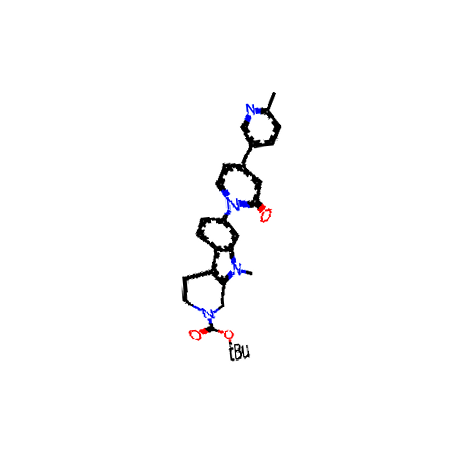 Cc1ccc(-c2ccn(-c3ccc4c5c(n(C)c4c3)CN(C(=O)OC(C)(C)C)CC5)c(=O)c2)cn1